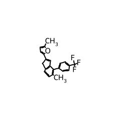 Cc1ccc(C2=Cc3c(ccc(C)c3-c3ccc(C(F)(F)F)cc3)C2)o1